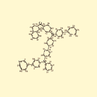 c1ccc(-c2ccc(N(c3ccccc3)c3ccc(-c4ccc(N(c5ccc(-c6ccccc6)cc5)c5ccc6oc7ccc8ccccc8c7c6c5)cc4)cc3)cc2)cc1